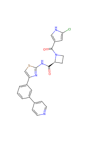 O=C(Nc1nc(-c2cccc(-c3ccncc3)c2)cs1)[C@@H]1CCN1C(=O)c1c[nH]c(Cl)c1